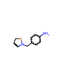 Nc1ccc(CN2C=CCS2)cc1